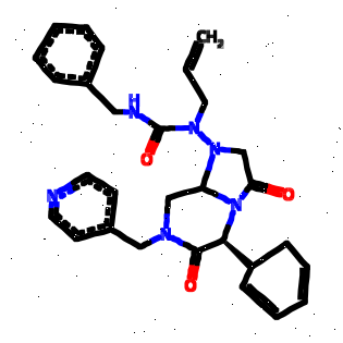 C=CCN(C(=O)NCc1ccccc1)N1CC(=O)N2C1CN(Cc1ccncc1)C(=O)[C@@H]2C1C=CC=CC1